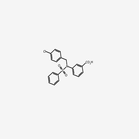 O=C(O)c1cccc(N(Cc2ccc(Cl)cc2)S(=O)(=O)c2ccccc2)c1